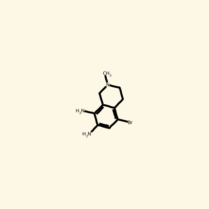 CN1CCc2c(Br)cc(N)c(N)c2C1